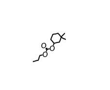 CCCOC(=O)OC1CCCC(C)(C)C1